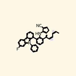 C=C(/C=C\C=C/C)c1cccc(-c2cccc3c4ccc(F)cc4n(-c4ccccc4)c23)c1NC1=CCC=C1C#N